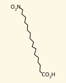 O=C(O)CCCCCCCCCCCCCCCC[N+](=O)[O-]